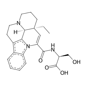 CC[C@@]12C=C(C(=O)N[C@@H](CO)C(=O)O)n3c4c(c5ccccc53)CCN(CCC1)[C@H]42